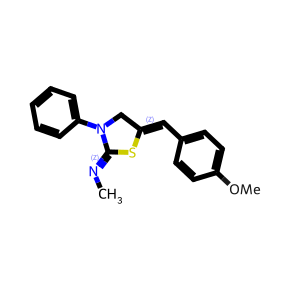 C/N=C1\S/C(=C\c2ccc(OC)cc2)CN1c1ccccc1